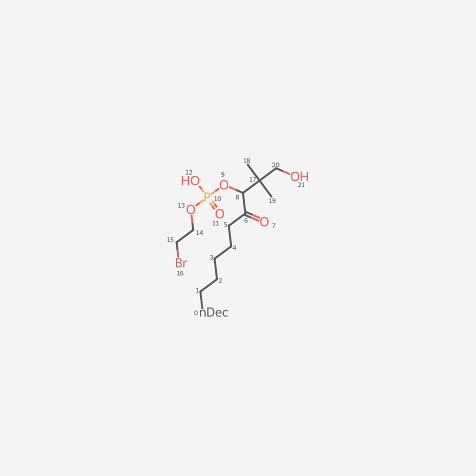 CCCCCCCCCCCCCCCC(=O)C(OP(=O)(O)OCCBr)C(C)(C)CO